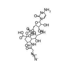 [N-]=[N+]=NCC(=O)NC1C(O)CC(OP(=O)(O)OC[C@H]2O[C@@H](n3ccc(N)nc3=O)C(O)[C@H]2O)(C(=O)O)OC1[C@H](O)[C@H](O)CO